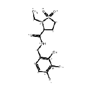 CCN1C(C(=O)NCc2ccc(F)c(F)c2Cl)CCS1(=O)=O